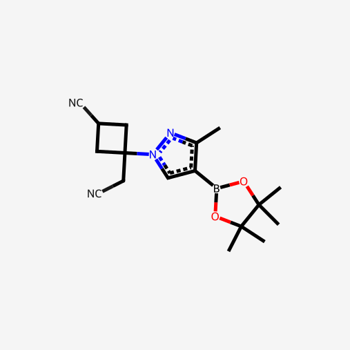 Cc1nn(C2(CC#N)CC(C#N)C2)cc1B1OC(C)(C)C(C)(C)O1